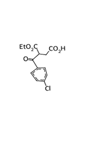 CCOC(=O)C(CC(=O)O)C(=O)c1ccc(Cl)cc1